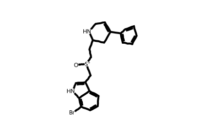 [O-][S+](CCC1CC(c2ccccc2)=CCN1)Cc1c[nH]c2c(Br)cccc12